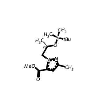 COC(=O)c1cc(C)nn1C[C@H](C)O[Si](C)(C)C(C)(C)C